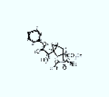 C=C(C(=O)Oc1ccccc1)C12CC1CC(C(=O)OCC)(P(=O)(OCC)OCC)C2